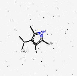 CCCc1[nH]c(C)c(C(C)C(=O)O)c1C